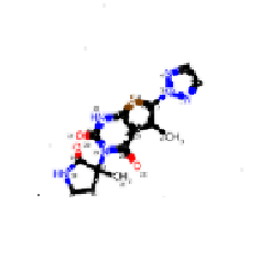 Cc1c(-n2nccn2)sc2[nH]c(=O)n(C3(C)CCNC3=O)c(=O)c12